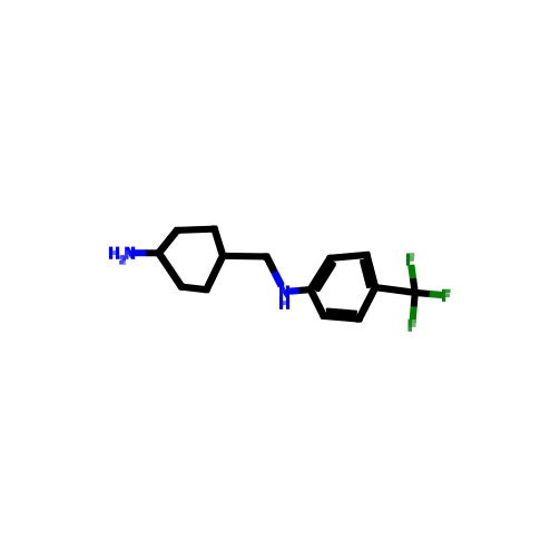 NC1CCC(CNc2ccc(C(F)(F)F)cc2)CC1